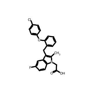 Cc1c(Cc2ccccc2Oc2ccc(Cl)cc2)c2cc(F)ccc2n1CC(=O)O